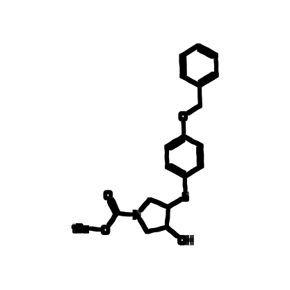 CC(C)(C)OC(=O)N1CC(O)C(Sc2ccc(OCc3ccccc3)cc2)C1